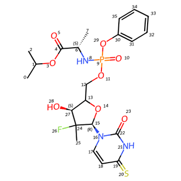 CC(C)OC(=O)[C@H](C)NP(=O)(OCC1O[C@@H](n2ccc(=S)[nH]c2=O)C(C)(F)[C@H]1O)Oc1ccccc1